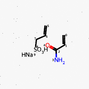 C=CC(N)=O.C=CCS(=O)(=O)O.[NaH]